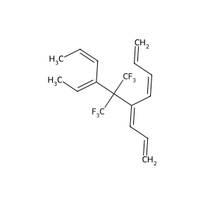 C=C/C=C\C(=C/C=C)C(C(/C=C\C)=C/C)(C(F)(F)F)C(F)(F)F